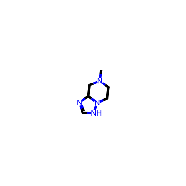 CN1CCN2NC=NC2C1